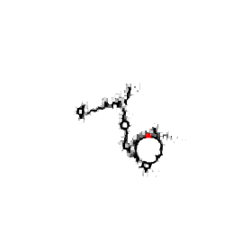 COc1cc2cc(c1Cl)N(C)C(=O)C[C@H](OC(=O)[C@H](C)N(C)C(=O)OCc1ccc(NC(=O)[C@H](CCCNC(N)=O)NC(=O)[C@@H](NC(=O)CCCCCN3C(=O)C=CC3=O)C(C)C)cc1)[C@]1(C)O[C@H]1[C@H](C)[C@@H]1C[C@@](O)(NC(=O)O1)[C@H](OC)/C=C/C=C(\C)C2